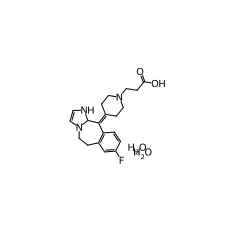 O.O.O=C(O)CCN1CCC(=C2c3ccc(F)cc3CCN3C=CNC23)CC1